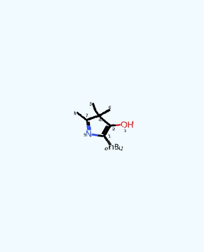 CCCCC1=C(O)C(C)(C)C(C)=N1